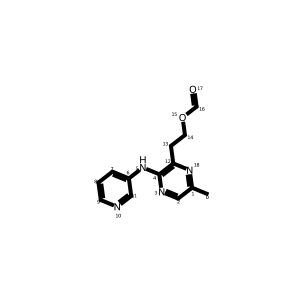 Cc1cnc(Nc2cccnc2)c(CCOC=O)n1